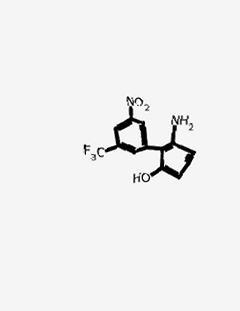 Nc1cccc(O)c1-c1cc([N+](=O)[O-])cc(C(F)(F)F)c1